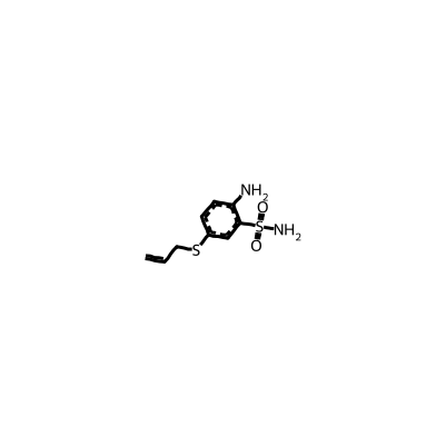 C=CCSc1ccc(N)c(S(N)(=O)=O)c1